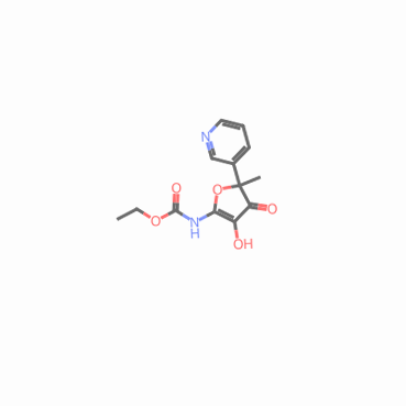 CCOC(=O)NC1=C(O)C(=O)C(C)(c2cccnc2)O1